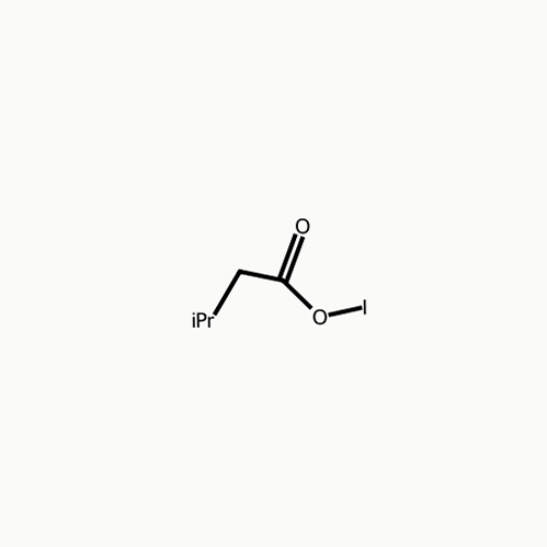 CC(C)CC(=O)OI